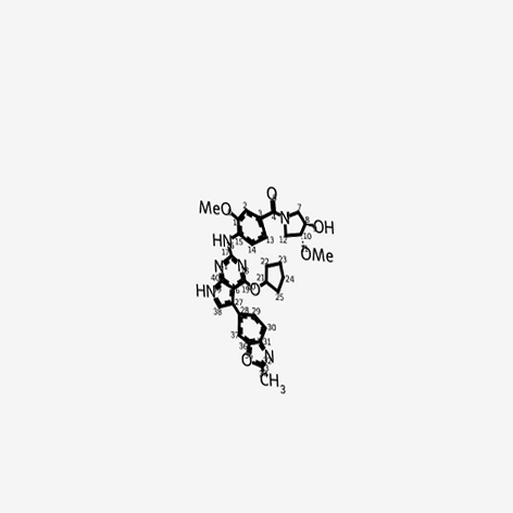 COc1cc(C(=O)N2C[C@@H](O)[C@H](OC)C2)ccc1Nc1nc(OC2CCCC2)c2c(-c3ccc4nc(C)oc4c3)c[nH]c2n1